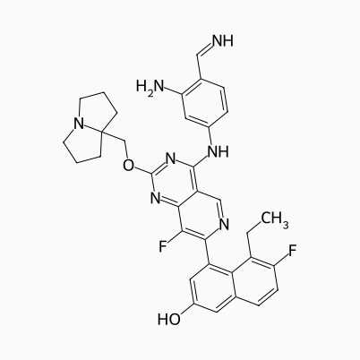 CCc1c(F)ccc2cc(O)cc(-c3ncc4c(Nc5ccc(C=N)c(N)c5)nc(OCC56CCCN5CCC6)nc4c3F)c12